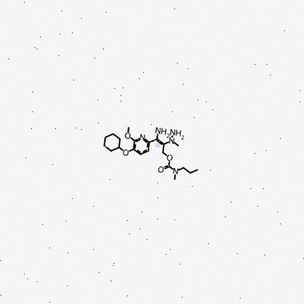 CCCN(C)C(=O)OC/C(=C(/N)c1ccc(OC2CCCCC2)c(OC)n1)N(C)N